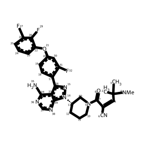 CNC(C)(C)/C=C(/C#N)C(=O)N1CCC[C@H](n2nc(-c3ccc(Oc4cccc(F)c4F)cc3F)c3c(N)ncnc32)C1